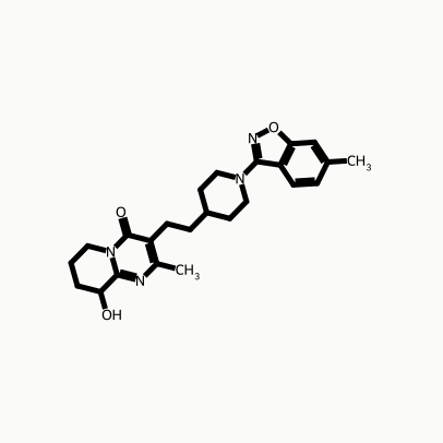 Cc1ccc2c(N3CCC(CCc4c(C)nc5n(c4=O)CCCC5O)CC3)noc2c1